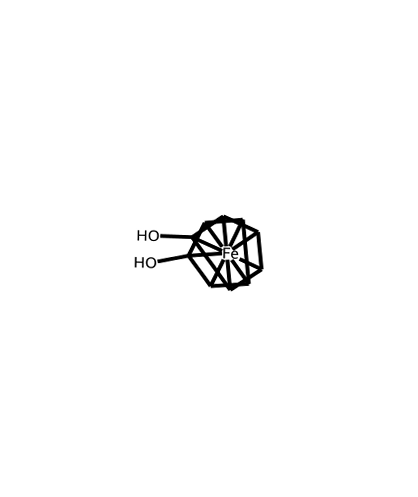 O[C]12[CH]3[CH]4[CH]5[CH]1[Fe]45321678[CH]2[CH]1[CH]6[C]7(O)[CH]28